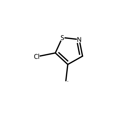 [CH2]c1cnsc1Cl